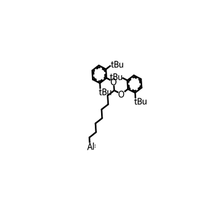 CC(C)(C)c1cccc(C(C)(C)C)c1OC(CCCCCC[CH2][Al])Oc1c(C(C)(C)C)cccc1C(C)(C)C